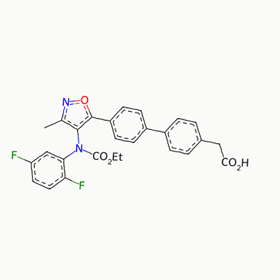 CCOC(=O)N(c1cc(F)ccc1F)c1c(C)noc1-c1ccc(-c2ccc(CC(=O)O)cc2)cc1